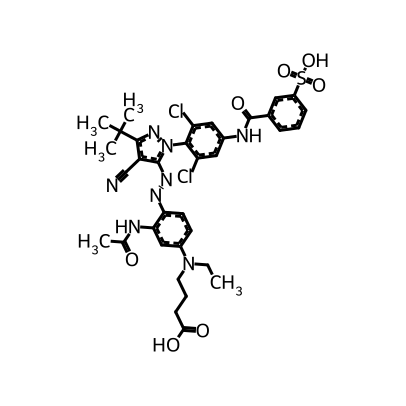 CCN(CCCC(=O)O)c1ccc(N=Nc2c(C#N)c(C(C)(C)C)nn2-c2c(Cl)cc(NC(=O)c3cccc(S(=O)(=O)O)c3)cc2Cl)c(NC(C)=O)c1